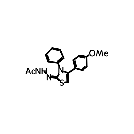 COc1ccc(-c2csc(=NNC(C)=O)n2-c2ccccc2)cc1